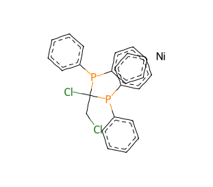 ClCC(Cl)(P(c1ccccc1)c1ccccc1)P(c1ccccc1)c1ccccc1.[Ni]